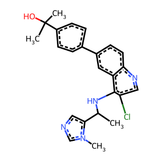 CC(Nc1c(Cl)cnc2ccc(-c3ccc(C(C)(C)O)cc3)cc12)c1cncn1C